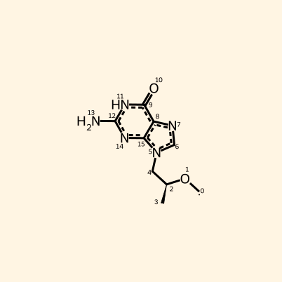 [CH2]O[C@@H](C)Cn1cnc2c(=O)[nH]c(N)nc21